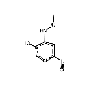 CONc1cc(N=O)ccc1O